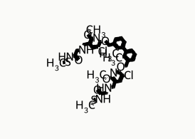 COc1nc(OCc2cccc(-c3cccc(COc4nc(OC)c(CNCC(=O)NSC)cc4Cl)c3C)c2C)c(Cl)cc1CNCC(=O)NSC